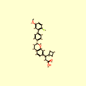 COc1ccc(F)c(-c2ccc([C@H]3CCc4ccc(C(CC(=O)O)C5CCC5)cc4O3)cc2)c1